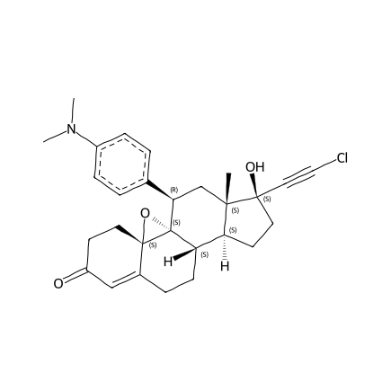 CN(C)c1ccc([C@H]2C[C@@]3(C)[C@@H](CC[C@@]3(O)C#CCl)[C@@H]3CCC4=CC(=O)CC[C@]45O[C@]235)cc1